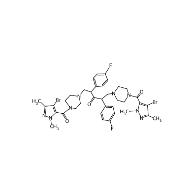 Cc1nn(C)c(C(=O)N2CCN(CC(C(=O)C(CN3CCN(C(=O)c4c(Br)c(C)nn4C)CC3)c3ccc(F)cc3)c3ccc(F)cc3)CC2)c1Br